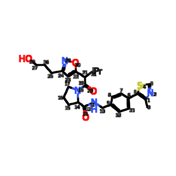 Cc1ncsc1-c1ccc(CNC(=O)C2CCCN2C(=O)C(c2cc(CCCO)no2)C(C)C)cc1